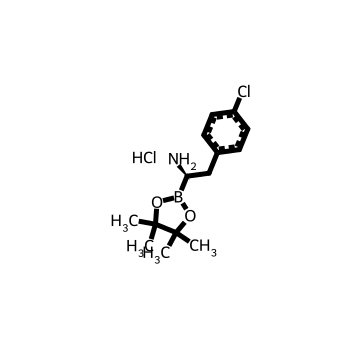 CC1(C)OB([C@@H](N)Cc2ccc(Cl)cc2)OC1(C)C.Cl